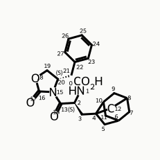 O=C(O)N[C@@H](CC12CC3CC(CC1C3)C2)C(=O)N1C(=O)OC[C@@H]1Cc1ccccc1